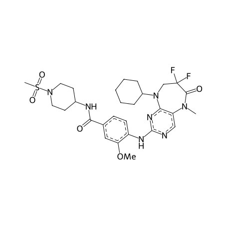 COc1cc(C(=O)NC2CCN(S(C)(=O)=O)CC2)ccc1Nc1ncc2c(n1)N(C1CCCCC1)CC(F)(F)C(=O)N2C